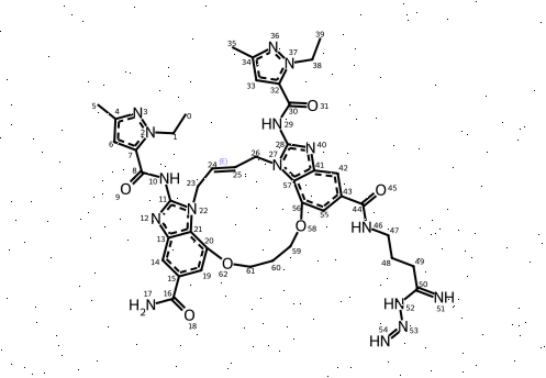 CCn1nc(C)cc1C(=O)Nc1nc2cc(C(N)=O)cc3c2n1C/C=C/Cn1c(NC(=O)c2cc(C)nn2CC)nc2cc(C(=O)NCCCC(=N)NN=N)cc(c21)OCCCO3